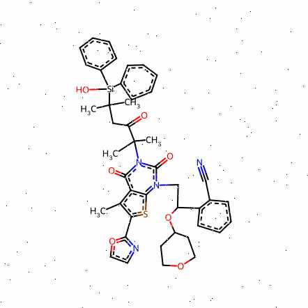 Cc1c(-c2ncco2)sc2c1c(=O)n(C(C)(C)C(=O)CC(C)(C)[Si](O)(c1ccccc1)c1ccccc1)c(=O)n2CC(OC1CCOCC1)c1ccccc1C#N